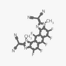 Cn1c(=C(C#N)C#N)nc2c3c(F)c4c(c(F)c(F)c5nc(=C(C#N)C#N)n(C)c54)c(F)c3c(F)c(F)c21